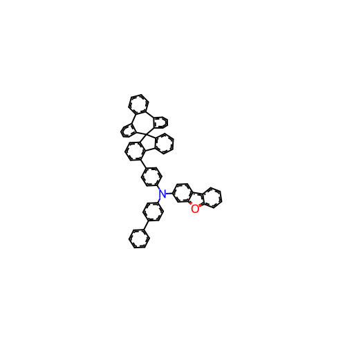 c1ccc(-c2ccc(N(c3ccc(-c4cccc5c4-c4ccccc4C54c5ccccc5-c5ccccc5-c5ccccc54)cc3)c3ccc4c(c3)oc3ccccc34)cc2)cc1